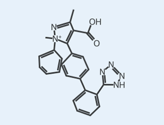 CC1=N[N+](C)(c2ccccc2)C(c2ccc(-c3ccccc3-c3nnn[nH]3)cc2)=C1C(=O)O